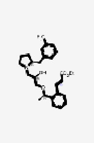 CCOC(=O)/C=C/c1ccccc1[C@@H](C)OC[C@H](O)CN1CCC[C@H]1Cc1cccc(C(F)(F)F)c1